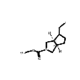 CC(C)(C)OC(=O)N1C[C@@H]2CCC(CI)[C@@H]2C1